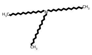 CCCCCCCCCCCCCC[CH2][Al]([CH2]CCCCCCCCCCCCCC)[CH2]CCCCCCCCCCCCCC